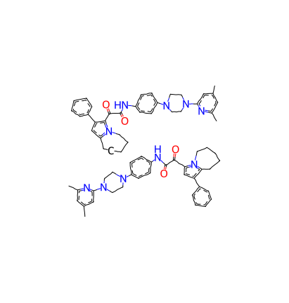 Cc1cc(C)nc(N2CCN(c3ccc(NC(=O)C(=O)c4c(-c5ccccc5)cc5n4CCCCC5)cc3)CC2)c1.Cc1cc(C)nc(N2CCN(c3ccc(NC(=O)C(=O)c4cc(-c5ccccc5)c5n4CCCCC5)cc3)CC2)c1